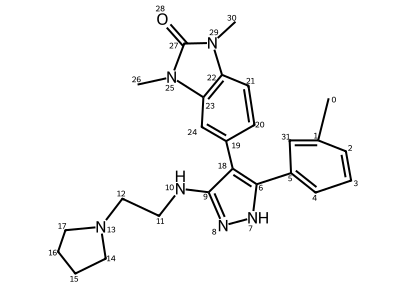 Cc1cccc(-c2[nH]nc(NCCN3CCCC3)c2-c2ccc3c(c2)n(C)c(=O)n3C)c1